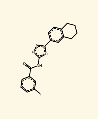 O=C(Nc1nnc(-c2ccc3c(c2)CCCC3)o1)c1cccc(F)c1